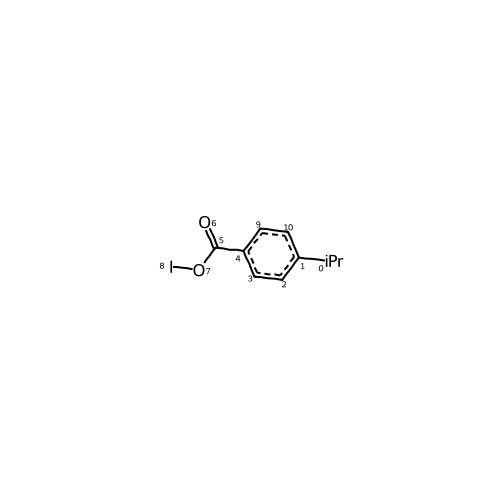 CC(C)c1ccc(C(=O)OI)cc1